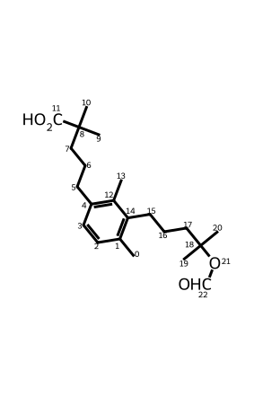 Cc1ccc(CCCC(C)(C)C(=O)O)c(C)c1CCCC(C)(C)OC=O